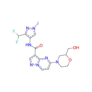 O=C(Nc1cn(I)nc1C(F)F)c1cnn2ccc(N3CCOC(CO)C3)nc12